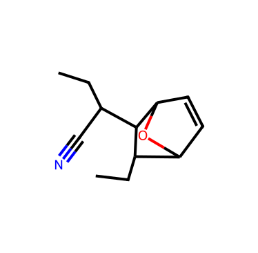 CCC(C#N)C1C2C=CC(O2)C1CC